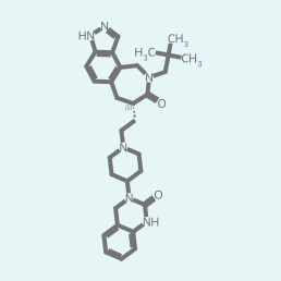 CC(C)(C)CN1Cc2c(ccc3[nH]ncc23)C[C@@H](CCN2CCC(N3Cc4ccccc4NC3=O)CC2)C1=O